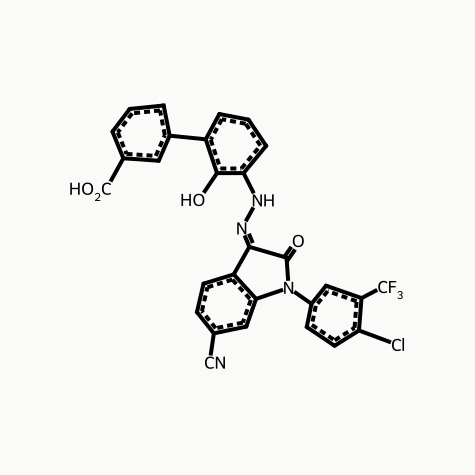 N#Cc1ccc2c(c1)N(c1ccc(Cl)c(C(F)(F)F)c1)C(=O)C2=NNc1cccc(-c2cccc(C(=O)O)c2)c1O